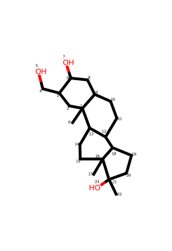 CC12CC(CO)C(O)CC1CCC1C2CCC2(C)C1CCC2(C)O